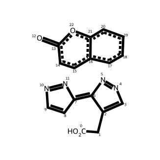 O=C(O)CC1=CN=NC1=C1C=CN=N1.O=c1ccc2ccccc2o1